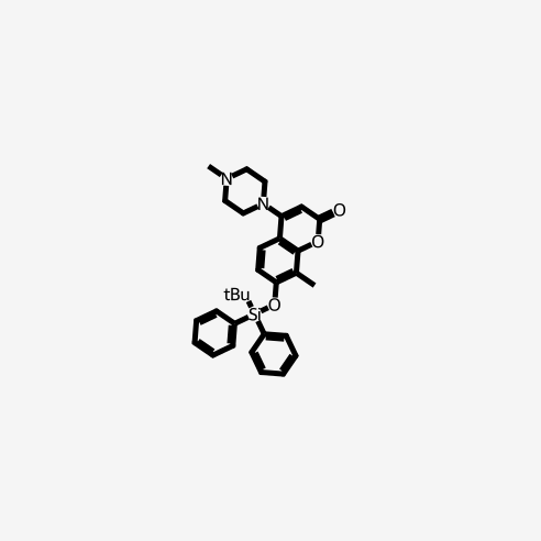 Cc1c(O[Si](c2ccccc2)(c2ccccc2)C(C)(C)C)ccc2c(N3CCN(C)CC3)cc(=O)oc12